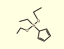 CCO[Si](CC)(OCC)C1C=CC=C1